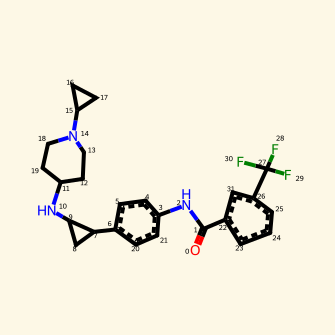 O=C(Nc1ccc(C2CC2NC2CCN(C3CC3)CC2)cc1)c1cccc(C(F)(F)F)c1